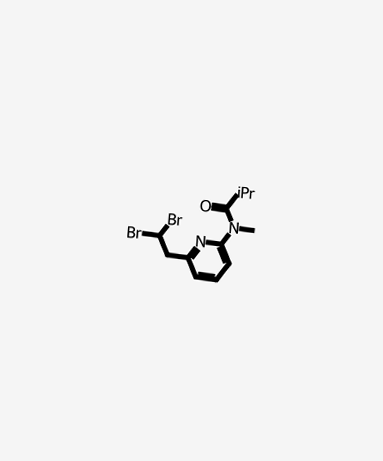 CC(C)C(=O)N(C)c1cccc(CC(Br)Br)n1